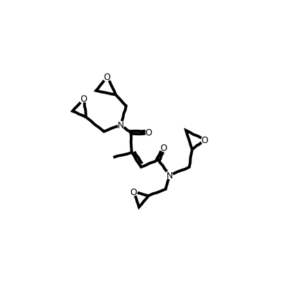 CC(=CC(=O)N(CC1CO1)CC1CO1)C(=O)N(CC1CO1)CC1CO1